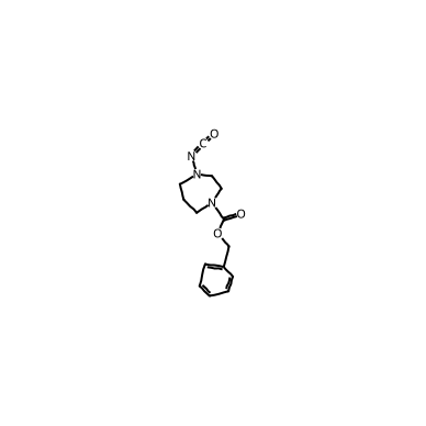 O=C=NN1CCCN(C(=O)OCc2ccccc2)CC1